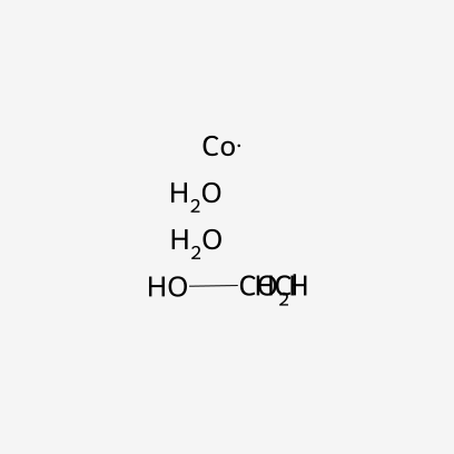 Cl.O.O.O=C(O)O.[Co]